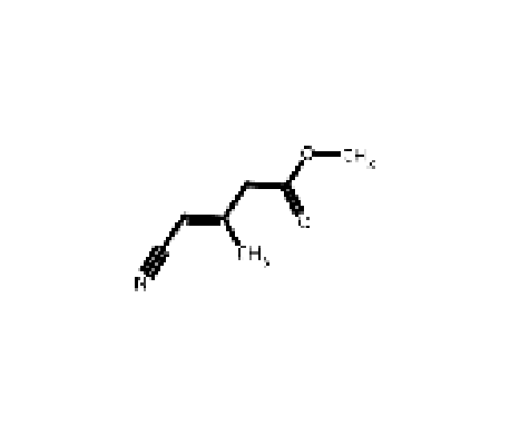 COC(=O)C/C(C)=C/C#N